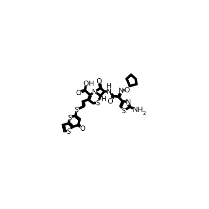 Nc1nc(C(=NOC2CCCC2)C(=O)NC2C(=O)N3C(C(=O)O)=C(C=CSc4cc(=O)c5sccc5s4)CS[C@@H]23)cs1